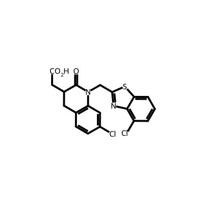 O=C(O)CC1Cc2ccc(Cl)cc2N(Cc2nc3c(Cl)cccc3s2)C1=O